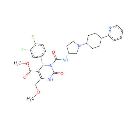 COCC1=C(C(=O)OC)[C@H](c2ccc(F)c(F)c2)N(C(=O)N[C@@H]2CCN(C3CCC(c4ccccn4)CC3)C2)C(=O)N1